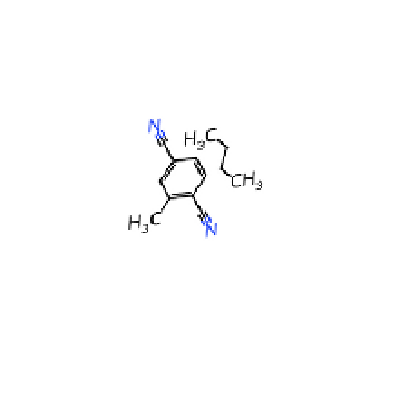 CCCC.Cc1cc(C#N)ccc1C#N